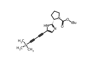 CC(C)(C)OC(=O)N1CCC[C@H]1c1ncc(C#CC#C[Si](C)(C)C)[nH]1